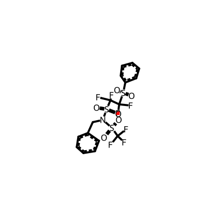 O=S(=O)(c1ccccc1)C(F)(F)C(F)(F)S(=O)(=O)N(Cc1ccccc1)S(=O)(=O)C(F)(F)F